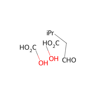 CC(C)CC=O.O=C(O)O.O=C(O)O